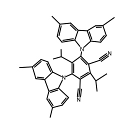 Cc1ccc2c(c1)c1cc(C)ccc1n2-c1c(C#N)c(C(C)C)c(C#N)c(-n2c3ccc(C)cc3c3cc(C)ccc32)c1C(C)C